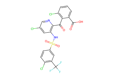 O=C(O)c1cccc(Cl)c1C(=O)c1ncc(Cl)cc1NS(=O)(=O)c1ccc(Cl)c(C(F)(F)F)c1